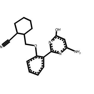 N#CC1CCCCC1COc1ccccc1-c1nc(N)cc(O)n1